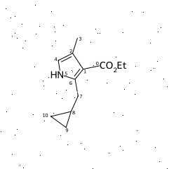 CCOC(=O)c1c(C)c[nH]c1CC1CC1